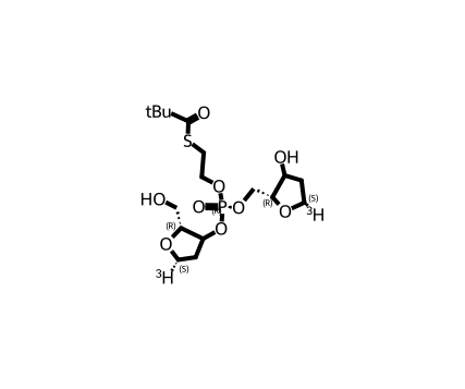 [3H][C@H]1CC(O)[C@@H](CO[P@](=O)(OCCSC(=O)C(C)(C)C)OC2C[C@H]([3H])O[C@@H]2CO)O1